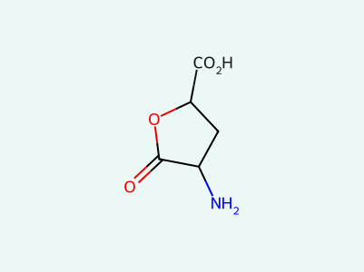 NC1CC(C(=O)O)OC1=O